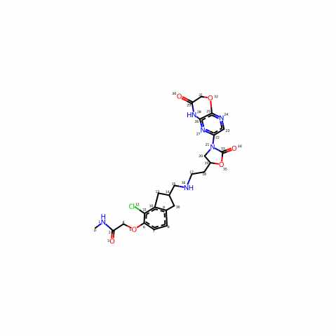 CNC(=O)COc1ccc2c(c1Cl)CC(CNCCC1CN(c3cnc4c(n3)NC(=O)CO4)C(=O)O1)C2